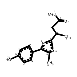 COC(=O)CC(C)c1nc(-c2ccc(O)cc2)c(C)s1